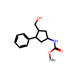 CCCCOC(=O)NC1CC(CO)C(c2ccccc2)C1